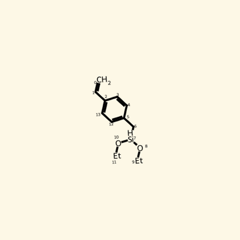 C=Cc1ccc(C[SiH](OCC)OCC)cc1